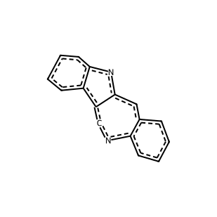 c1ccc2ncc3c4ccccc4nc-3cc2c1